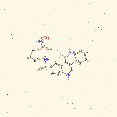 Cc1cc(CN(C)c2ccc(C(=O)N[C@@H]3CCC[C@@H]3C(=O)NO)cc2)c2ccccc2n1